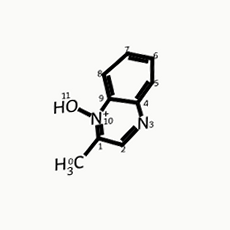 Cc1cnc2ccccc2[n+]1O